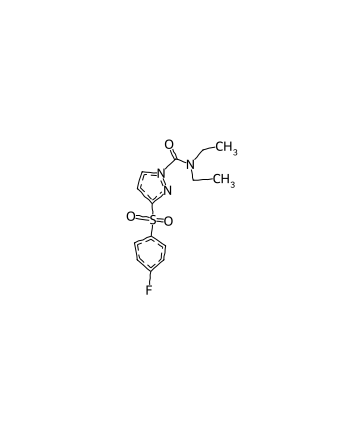 CCN(CC)C(=O)n1ccc(S(=O)(=O)c2ccc(F)cc2)n1